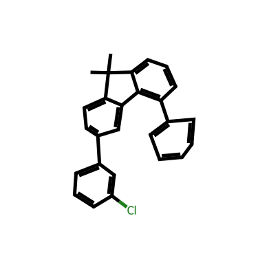 CC1(C)c2ccc(-c3cccc(Cl)c3)cc2-c2c(-c3ccccc3)cccc21